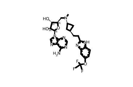 CN(C[C@H]1O[C@@H](n2cnc3c(N)ncnc32)[C@H](O)[C@@H]1O)[C@H]1C[C@H](CCc2nc3cc(OC(F)(F)F)ccc3[nH]2)C1